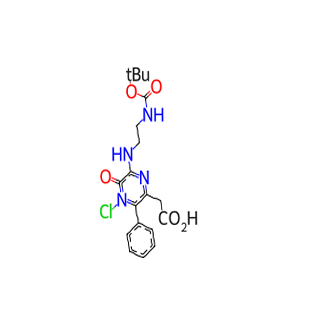 CC(C)(C)OC(=O)NCCNc1nc(CC(=O)O)c(-c2ccccc2)n(Cl)c1=O